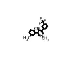 Cc1ccc(C)c(-c2cn(C)cc(-c3cccc(C(F)(F)F)c3)c2=O)c1